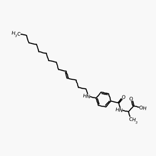 CCCCCCCCCC=CCCCNc1ccc(C(=O)NC(C)C(=O)O)cc1